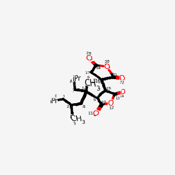 CC(C)CC(C)CC(C)(CC(C)C)C1C(=O)OC(=O)C1C1CC(=O)OC1=O